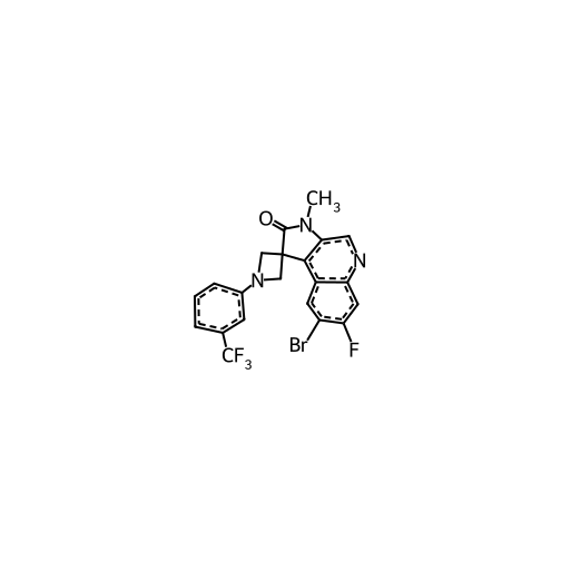 CN1C(=O)C2(CN(c3cccc(C(F)(F)F)c3)C2)c2c1cnc1cc(F)c(Br)cc21